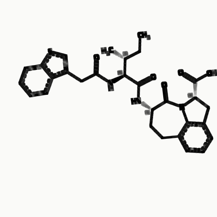 CC[C@@H](C)[C@H](NC(=O)Cc1csc2ccccc12)C(=O)N[C@H]1CCc2cccc3c2N(C1=O)[C@H](C(=O)O)C3